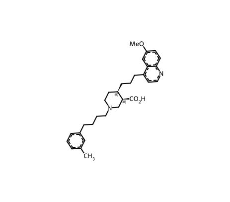 COc1ccc2nccc(CCC[C@@H]3CCN(CCCCc4cccc(C)c4)C[C@@H]3C(=O)O)c2c1